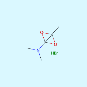 Br.CN(C)C12OC1(C)O2